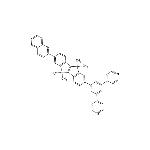 CC1(C)C2=C(c3ccc(-c4cc(-c5ccncc5)cc(-c5ccncc5)c4)cc31)C(C)(C)c1cc(-c3ccc4ccccc4n3)ccc12